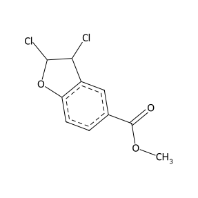 COC(=O)c1ccc2c(c1)C(Cl)C(Cl)O2